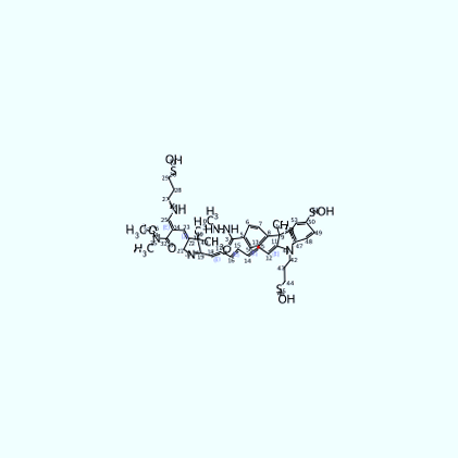 CNNC(=O)c1ccc(C2(C)\C(=C/C=C/C=C/C=C/C3=NC/C(=C\C(=C/NCCCSO)C(=O)N(C)OC)C3(C)C)N(CCCSO)c3ccc(SO)cc32)cc1